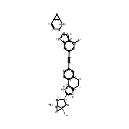 Fc1cc(C#Cc2ccc3c(c2)CCc2nc([C@@H]4C[C@H]5C[C@H]5N4)[nH]c2-3)cc2[nH]c([C@@H]3C=CC4CC4N3)nc12